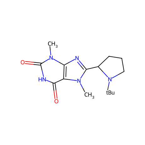 Cn1c(C2CCCN2C(C)(C)C)nc2c1c(=O)[nH]c(=O)n2C